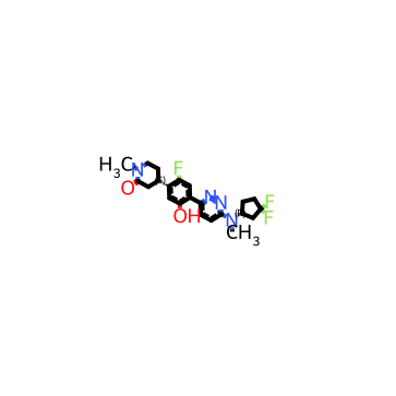 CN1CC[C@H](c2cc(O)c(-c3ccc(N(C)[C@@H]4CCC(F)(F)C4)nn3)cc2F)CC1=O